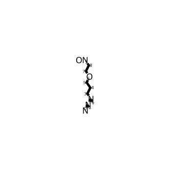 [N-]=[N+]=NCCCOCCN=O